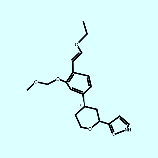 CCOC=Cc1ccc([C@@H]2CCOC(c3cc[nH]n3)C2)cc1OCOC